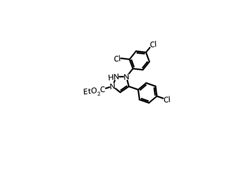 CCOC(=O)N1C=C(c2ccc(Cl)cc2)N(c2ccc(Cl)cc2Cl)N1